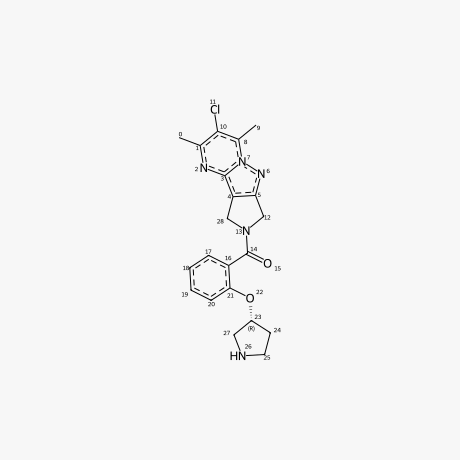 Cc1nc2c3c(nn2c(C)c1Cl)CN(C(=O)c1ccccc1O[C@@H]1CCNC1)C3